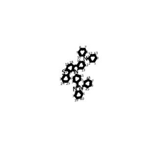 c1ccc(N(c2ccccc2)c2ccc3c(c2)c2ccc4sc5ccccc5c4c2n3-c2ccc(-c3nc4ccccc4n3-c3ccccc3)cc2)cc1